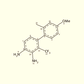 COc1ccc(-c2ccc(N)c(N)c2C(F)(F)F)c(C)c1